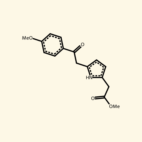 COC(=O)Cc1ccc(CC(=O)c2ccc(OC)cc2)[nH]1